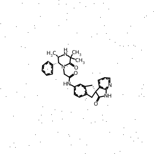 C[C@H]1NC(C)(C)C(=O)N(CC(=O)Nc2ccc3c(c2)C[C@@]2(C3)C(=O)Nc3ncccc32)[C@@H]1c1ccccc1